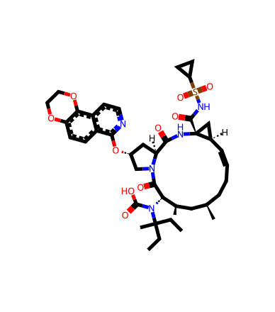 CCC(C)(CC)N(C(=O)O)[C@@H]1C(=O)N2C[C@H](Oc3nccc4c5c(ccc34)OCCO5)C[C@H]2C(=O)N[C@]2(C(=O)NS(=O)(=O)C3CC3)C[C@H]2C=CCC[C@@H](C)C[C@H]1C